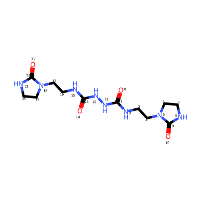 O=C(NCCN1CCNC1=O)NNC(=O)NCCN1CCNC1=O